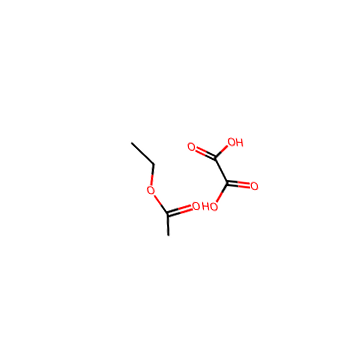 CCOC(C)=O.O=C(O)C(=O)O